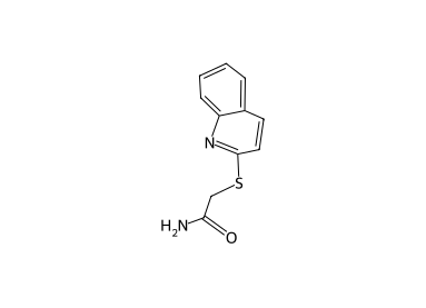 NC(=O)CSc1ccc2ccccc2n1